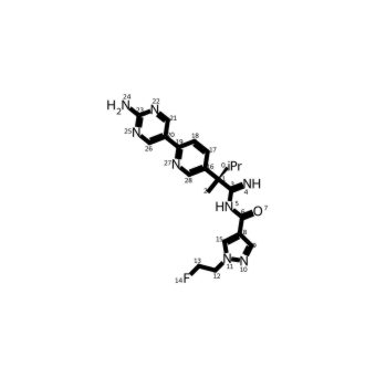 CC(C)[C@](C)(C(=N)NC(=O)c1cnn(CCF)c1)c1ccc(-c2cnc(N)nc2)nc1